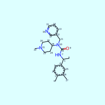 Cc1ccc(C(C)NC(=O)N(Cc2cccnc2)C2CCN(C)CC2)cc1C